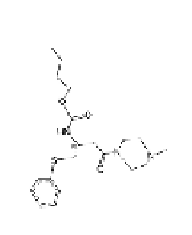 CCCCOC(=O)N[C@@H](CSc1ccccc1)CC(=O)N1CCN(C)CC1